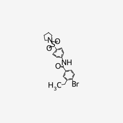 CCc1cc(C(=O)Nc2ccc(S(=O)(=O)N3CCCC3)cc2)ccc1Br